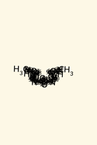 CN1CCN(C(=O)N[C@@H](C(=O)N2CCC[C@H]2c2ncc(-c3cc4c5c(c3)OCc3cc(-c6cnc([C@@H]7CCCN7C(=O)[C@H](NC(=O)N7CCN(C)CC7)c7ccccc7)[nH]6)cc(c3-5)OC4)[nH]2)c2ccccc2)CC1